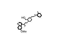 COc1ccc2nccc([C@H](F)CC[C@@H]3CCN(CCSc4ccccc4C)C[C@@H]3CO)c2c1